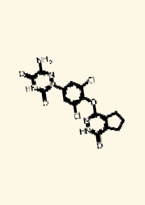 Nc1nn(-c2cc(Cl)c(Oc3n[nH]c(=O)c4c3CCC4)c(Cl)c2)c(=O)[nH]c1=O